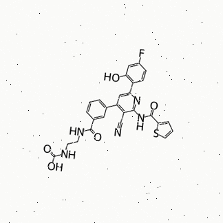 N#Cc1c(-c2cccc(C(=O)NCCNC(=O)O)c2)cc(-c2ccc(F)cc2O)nc1NC(=O)c1cccs1